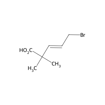 CC(C)(/C=C/CBr)C(=O)O